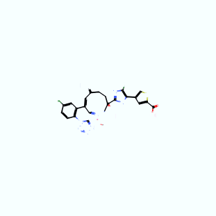 C=C1/C=C(c2cc(Cl)ccc2-n2cnnn2)\C=[N+](\OC)CC(O)(c2nc(Cl)c(-c3csc(C(=O)O)c3)[nH]2)CC1